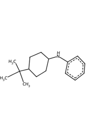 CC(C)(C)C1CCC(Nc2ccccc2)CC1